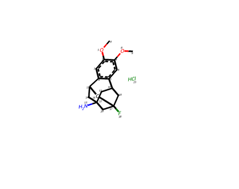 COc1cc2c(cc1OC)C1CC3(N)CC2CC(F)(C1)C3.Cl